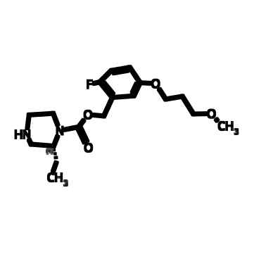 CC[C@@H]1CNCCN1C(=O)OCc1cc(OCCCOC)ccc1F